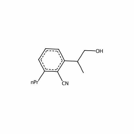 CCCc1cccc([C](C)CO)c1C#N